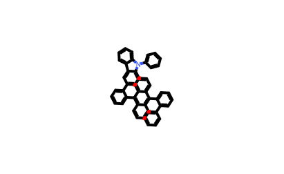 c1ccc(-c2ccccc2-c2c3ccccc3c(-c3ccccc3-c3ccc4c(c3)c3ccccc3n4-c3ccccc3)c3ccccc23)cc1